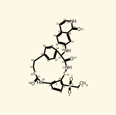 CCS(=O)(=O)c1ccc2cc1CNC(=O)C(Nc1ccc3cc[nH]c(=O)c3c1)c1ccc(cc1)CCCC(=O)N2